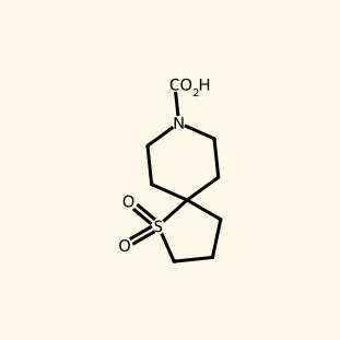 O=C(O)N1CCC2(CCCS2(=O)=O)CC1